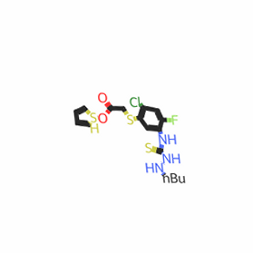 CCCCNNC(=S)Nc1cc(SCC(=O)O[SH]2C=CC=C2)c(Cl)cc1F